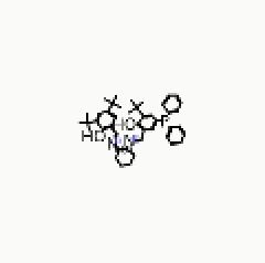 CC(C)(C)c1cc(/C=N/[C@H]2CCCC[C@@H]2/N=C/c2cc(P(c3ccccc3)c3ccccc3)cc(C(C)(C)C)c2O)c(O)c(C(C)(C)C)c1